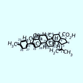 C=C(C)[C@@H]1CC[C@]2(C(=O)O)CC[C@]3(C)[C@H](CC[C@@H]4[C@@]5(C)CC=C(c6ccc(C)cc6)C(C)(C)[C@@H]5CC[C@]43C)[C@@H]12